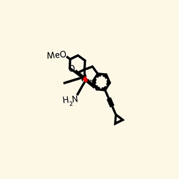 COC1CCC2(CC1)Cc1ccc(C#CC3CC3)cc1[C@]21N=C(N)N(C)C1=O